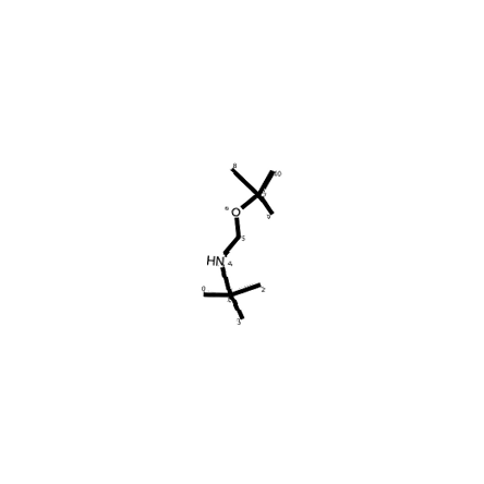 CC(C)(C)NCOC(C)(C)C